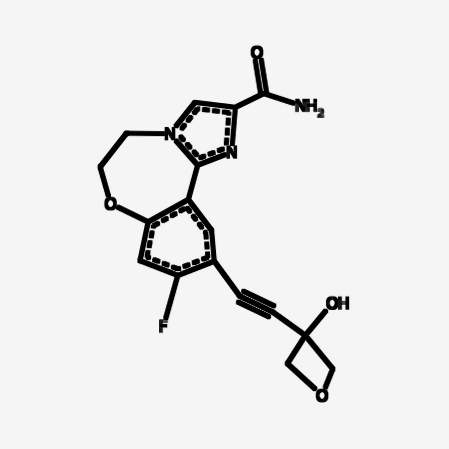 NC(=O)c1cn2c(n1)-c1cc(C#CC3(O)COC3)c(F)cc1OCC2